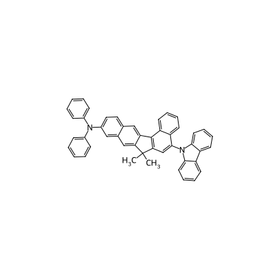 CC1(C)c2cc3cc(N(c4ccccc4)c4ccccc4)ccc3cc2-c2c1cc(-n1c3ccccc3c3ccccc31)c1ccccc21